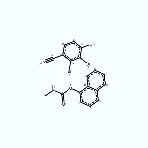 CNC(=O)Oc1cccc2ccccc12.N#Cc1ccc(O)c(Br)c1Br